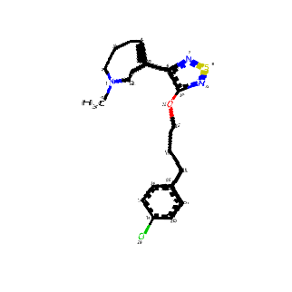 CN1CCC=C(c2nsnc2OCCCc2ccc(Cl)cc2)C1